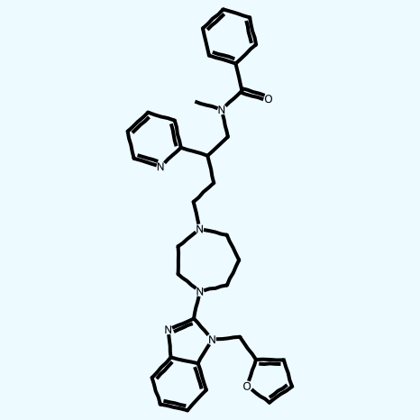 CN(CC(CCN1CCCN(c2nc3ccccc3n2Cc2ccco2)CC1)c1ccccn1)C(=O)c1ccccc1